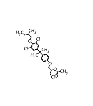 CC[C@@H](C)COc1c(Cl)cc(C(C)(C)c2ccc(OC[C@H](CCl)OC(C)=O)cc2)cc1Cl